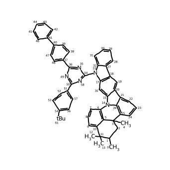 CC1CC2(C)c3c(cccc3C1(C)C)-n1c3cc4c(cc3c3cccc2c31)c1ccccc1n4-c1nc(-c2ccc(-c3ccccc3)cc2)nc(-c2ccc(C(C)(C)C)cc2)n1